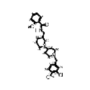 COc1ccccc1C(=O)NCC1CCCN(C2CCN(Cc3ccc(Cl)c(Cl)c3)CC2)C1